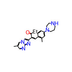 CCC(=O)/C(=C\c1ccc(N2CCCNCC2)cc1C)c1cn2cc(C)cnc2n1